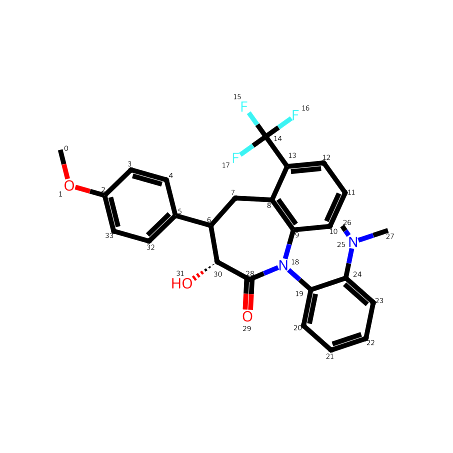 COc1ccc(C2Cc3c(cccc3C(F)(F)F)N(c3ccccc3N(C)C)C(=O)[C@@H]2O)cc1